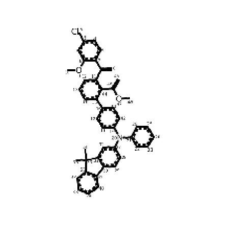 C=C(c1ccc(Cl)cc1OC)c1cccc(-c2ccc(N(c3ccccc3)c3ccc4c(c3)C(C)(C)c3ccccc3-4)cc2)c1C(=C)OC